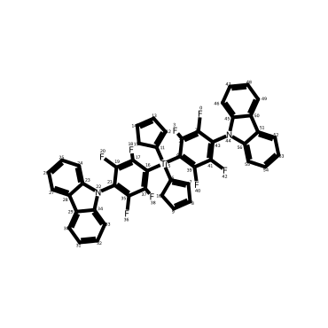 Fc1c(F)[c]([Ti]([C]2=CC=CC2)([C]2=CC=CC2)[c]2c(F)c(F)c(-n3c4ccccc4c4ccccc43)c(F)c2F)c(F)c(F)c1-n1c2ccccc2c2ccccc21